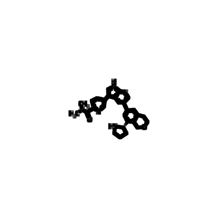 CN(C)C(=O)c1ccc(-c2c[nH]c3ncc(-c4cc5c(c([C@@H]6CCCN6)c4)COCC5)cc23)cn1